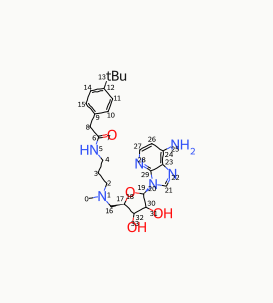 CN(CCCNC(=O)Cc1ccc(C(C)(C)C)cc1)C[C@H]1O[C@@H](n2cnc3c(N)ccnc32)C(O)C1O